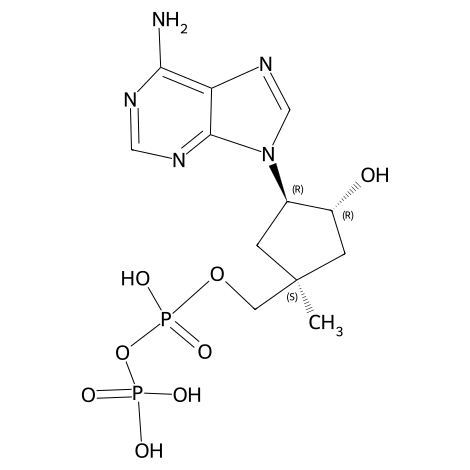 C[C@@]1(COP(=O)(O)OP(=O)(O)O)C[C@@H](O)[C@H](n2cnc3c(N)ncnc32)C1